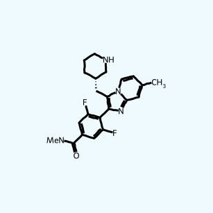 CNC(=O)c1cc(F)c(-c2nc3cc(C)ccn3c2C[C@@H]2CCCNC2)c(F)c1